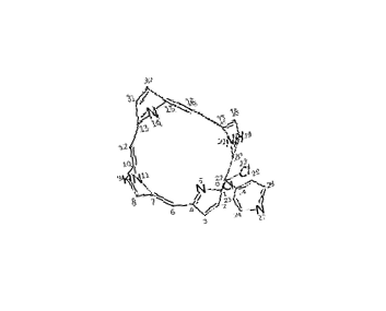 ClC12C=CC(=N1)C=c1ccc([nH]1)=CC1=NC(=Cc3ccc([nH]3)C2(Cl)c2ccncc2)C=C1